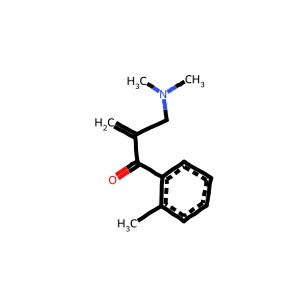 C=C(CN(C)C)C(=O)c1ccccc1C